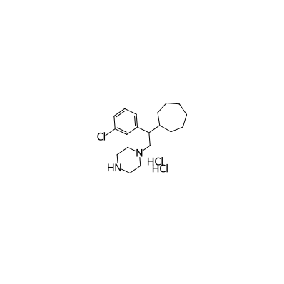 Cl.Cl.Clc1cccc(C(CN2CCNCC2)C2CCCCCC2)c1